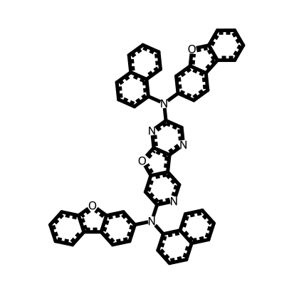 c1ccc2c(N(c3ccc4c(c3)oc3ccccc34)c3cc4oc5nc(N(c6ccc7c(c6)oc6ccccc67)c6cccc7ccccc67)cnc5c4cn3)cccc2c1